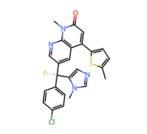 Cc1ccc(-c2cc(=O)n(C)c3ncc([C@](F)(c4ccc(Cl)cc4)c4cncn4C)cc23)s1